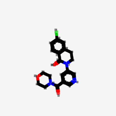 O=C(c1cncc(N2CCc3cc(Cl)ccc3C2=O)c1)N1CCOCC1